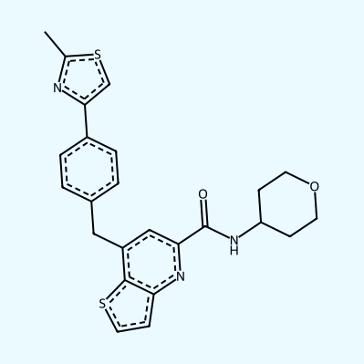 Cc1nc(-c2ccc(Cc3cc(C(=O)NC4CCOCC4)nc4ccsc34)cc2)cs1